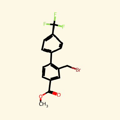 COC(=O)c1ccc(-c2ccc(C(F)(F)F)cc2)c(CBr)c1